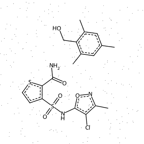 Cc1cc(C)c(CO)c(C)c1.Cc1noc(NS(=O)(=O)c2ccsc2C(N)=O)c1Cl